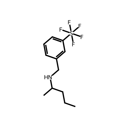 CCCC(C)NCc1cccc(S(F)(F)(F)(F)F)c1